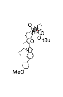 COC1CCC(c2ccc3cc(-c4oc5cc(C(=O)N6CC7CCC6[C@@H]7NC(=O)OC(C)(C)C)ccc5c4C)n(CC4CC4)c3c2)CC1